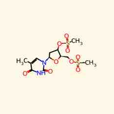 Cc1cn([C@H]2CC(OS(C)(=O)=O)[C@@H](COS(C)(=O)=O)O2)c(=O)[nH]c1=O